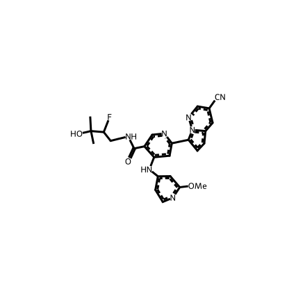 COc1cc(Nc2cc(-c3ccc4cc(C#N)cnn34)ncc2C(=O)NCC(F)C(C)(C)O)ccn1